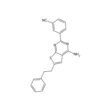 N#Cc1cccc(-c2nc(N)c3cc(CCc4ccccc4)sc3n2)c1